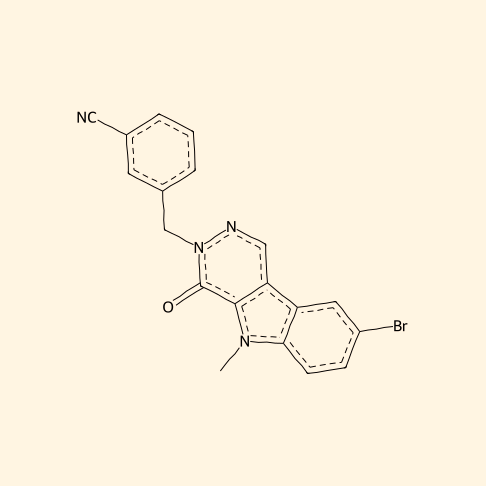 Cn1c2ccc(Br)cc2c2cnn(Cc3cccc(C#N)c3)c(=O)c21